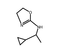 CC(NC1=NCCO1)C1CC1